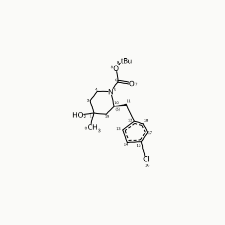 CC1(O)CCN(C(=O)OC(C)(C)C)[C@@H](Cc2ccc(Cl)cc2)C1